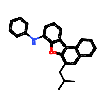 CC(C)Cc1cc2ccccc2c2c1oc1c(Nc3ccccc3)cccc12